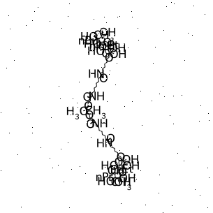 CCCCC(C)(O)C1C(CO)CC(OC(CC)(CCC)C2C(CO)OC(OCCCCCCNC(=O)CCCCCCCNC(=O)CCOCC(C)(C)COCCC(=O)NCCCCCCCC(=O)NCCCCCCOC3OC(CO)C(C(CC)(CC)OC4CC(CO)C(C(C)(O)CCC)C(O)C4O)C(O)C3O)C(O)C2O)C(O)C1O